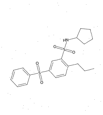 CCCc1ccc(S(=O)(=O)c2ccccc2)cc1S(=O)(=O)NC1CCCC1